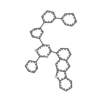 c1ccc(-c2cccc(-c3cccc(-c4nc(-c5ccccc5)nc(-c5cccc6cc7c(cc56)oc5ccccc57)n4)c3)c2)cc1